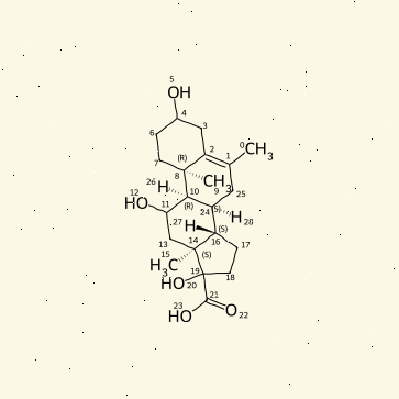 CC1=C2CC(O)CC[C@]2(C)[C@@H]2C(O)C[C@@]3(C)[C@@H](CCC3(O)C(=O)O)[C@@H]2C1